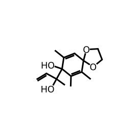 C=CC(C)(O)C1(O)C(C)=CC2(OCCO2)C(C)=C1C